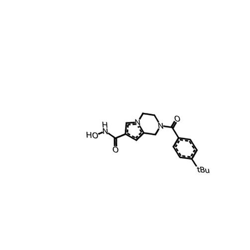 CC(C)(C)c1ccc(C(=O)N2CCn3cc(C(=O)NO)cc3C2)cc1